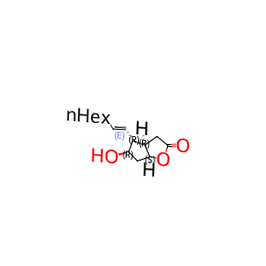 CCCCCC/C=C/[C@@H]1[C@H]2CC(=O)O[C@H]2C[C@H]1O